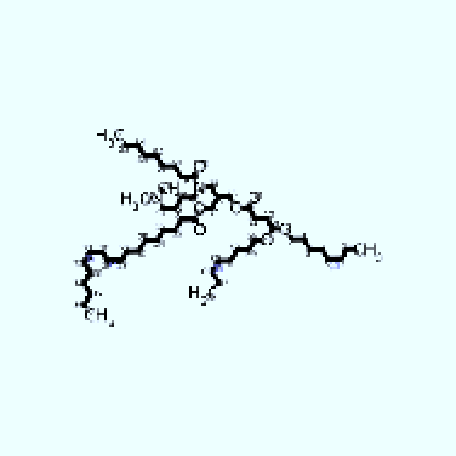 CC/C=C\CCCCOC(CCC(=O)OCC(COC(=O)CCCCCCC/C=C\C/C=C\CCCCC)CN(CCCCN(C)C)C(=O)CCCCCCCC)OCCCC/C=C\CC